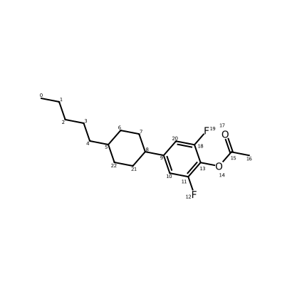 CCCCCC1CCC(c2cc(F)c(OC(C)=O)c(F)c2)CC1